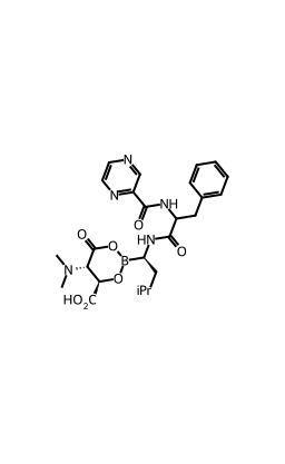 CC(C)C[C@H](NC(=O)C(Cc1ccccc1)NC(=O)c1cnccn1)B1OC(=O)[C@@H](N(C)C)[C@H](C(=O)O)O1